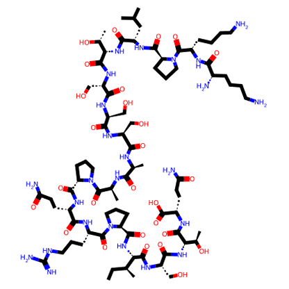 CC[C@H](C)[C@H](NC(=O)[C@@H]1CCCN1C(=O)[C@H](CCCNC(=N)N)NC(=O)[C@H](CCC(N)=O)NC(=O)[C@@H]1CCCN1C(=O)[C@H](C)NC(=O)[C@H](C)NC(=O)[C@H](CO)NC(=O)[C@H](CO)NC(=O)[C@H](CO)NC(=O)[C@@H](NC(=O)[C@H](CC(C)C)NC(=O)[C@@H]1CCCN1C(=O)[C@H](CCCCN)NC(=O)[C@@H](N)CCCCN)[C@@H](C)O)C(=O)N[C@@H](CO)C(=O)N[C@H](C(=O)N[C@@H](CCC(N)=O)C(=O)O)[C@@H](C)O